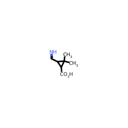 CC1(C)C(C=N)C1C(=O)O